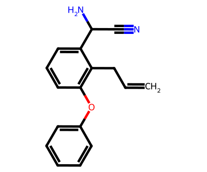 C=CCc1c(Oc2ccccc2)cccc1C(N)C#N